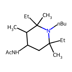 CCCCN1C(C)(CC)CC(NC(C)=O)C(C)C1(C)CC